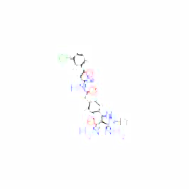 CC(C)n1nc(-c2ccc(CC(=O)Nc3cc(-c4cccc(Cl)c4)on3)cc2)c(C(N)=O)c1N